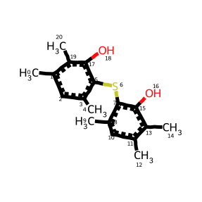 Cc1cc(C)c(Sc2c(C)cc(C)c(C)c2O)c(O)c1C